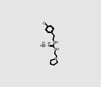 Cl.Cl.N=C(NCCc1ccc(Cl)cc1)NCCN1CCCC1